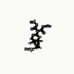 CCOC(=O)[C@@H]1C[C@H]1[C@@]1(C)N=C(N(C(=O)OC(C)(C)C)C(=O)OC(C)(C)C)OCC1(F)F